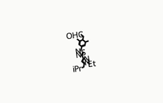 CCn1nc(-c2nnc(C3=CC(C)C(CC=O)C(C)=C3)s2)cc1CC(C)C